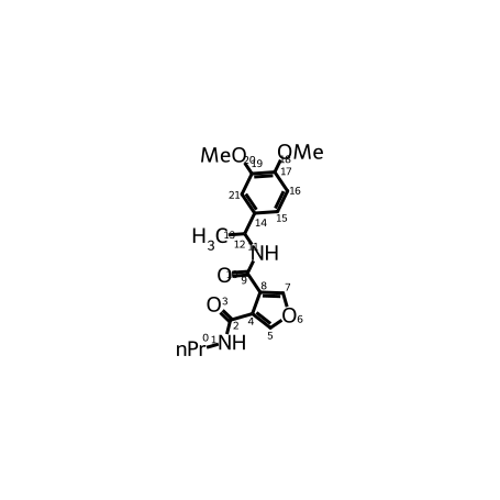 CCCNC(=O)c1cocc1C(=O)NC(C)c1ccc(OC)c(OC)c1